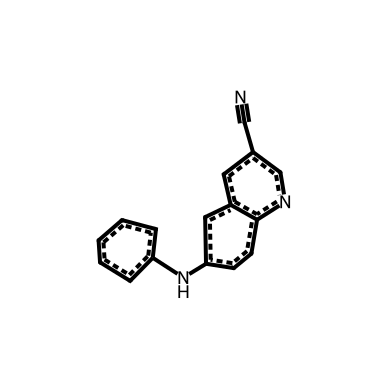 N#Cc1cnc2ccc(Nc3ccccc3)cc2c1